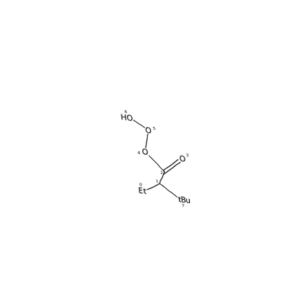 CCC(C(=O)OOO)C(C)(C)C